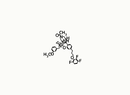 COc1cccc(CN(C(=O)C2=C(c3ccc(CCCOc4c(F)ccc(F)c4F)cc3)C[C@@H]3CN(C(C)=O)C[C@H]2N3)C2CC2)c1